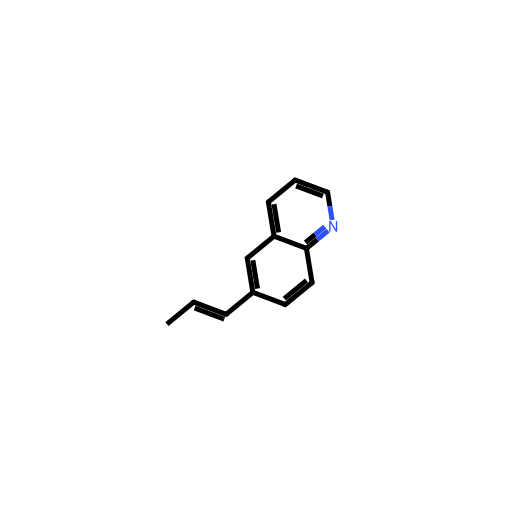 CC=Cc1ccc2ncccc2c1